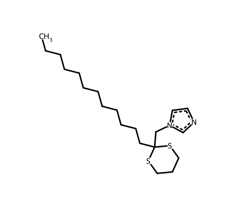 CCCCCCCCCCCCC1(Cn2ccnc2)SCCCS1